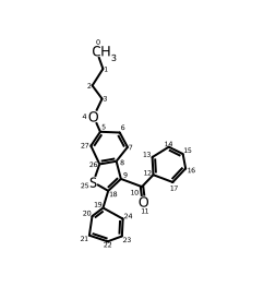 CCCCOc1ccc2c(C(=O)c3ccccc3)c(-c3ccccc3)sc2c1